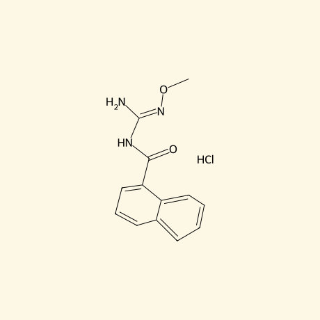 CON=C(N)NC(=O)c1cccc2ccccc12.Cl